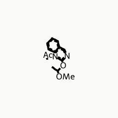 CC(C)=O.COC(C)Oc1ncc2ccccc2n1